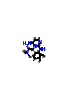 Cc1cccc(NC2=NC=CC(N)N2CCN(C)C)c1C